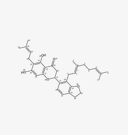 CC(C)=CCC/C(C)=C/Cc1c(C2CC(=O)c3c(cc(O)c(CC=C(C)C)c3O)O2)ccc2c1OCC2